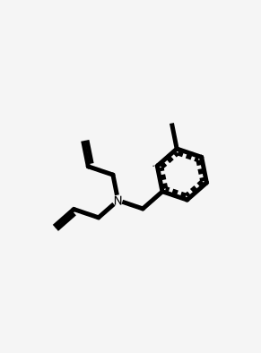 C=CCN(CC=C)Cc1[c]c(C)ccc1